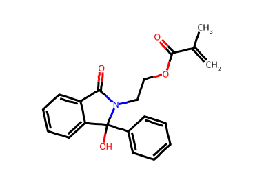 C=C(C)C(=O)OCCN1C(=O)c2ccccc2C1(O)c1ccccc1